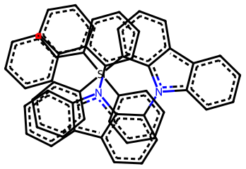 c1ccc(-c2ccccc2-n2c3ccccc3c3cccc(-n4c5ccccc5c5cccc([Si](c6ccccc6)(c6ccccc6)c6ccccc6)c54)c32)cc1